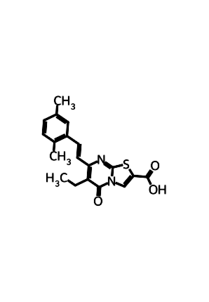 CCc1c(/C=C/c2cc(C)ccc2C)nc2sc(C(=O)O)cn2c1=O